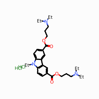 CCN(CC)CCCOC(=O)c1ccc2c(c1)c1cc(C(=O)OCCCN(CC)CC)ccc1n2CC.Cl.Cl